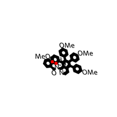 COc1ccc(-c2c(-c3ccc(OC)cc3)c(-c3ccc(OC)cc3)c3c(N4C(=O)c5ccccc5C4(C)C)nccc3c2-c2ccc(OC)cc2)cc1